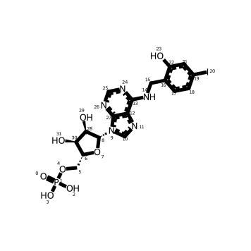 O=P(O)(O)OC[C@H]1O[C@@H](n2cnc3c(NCc4ccc(I)cc4O)ncnc32)[C@H](O)[C@@H]1O